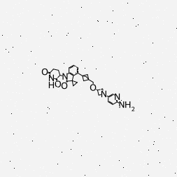 Nc1ccc(N2CC(OCC34CC(c5cccc6c5C5(CC5)C(=O)N6C5CCC(=O)NC5=O)(C3)C4)C2)cn1